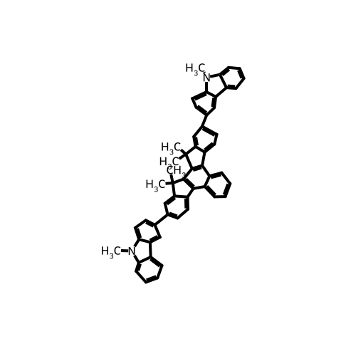 Cn1c2ccccc2c2cc(-c3ccc4c(c3)C(C)(C)c3c5c(c6ccccc6c3-4)-c3ccc(-c4ccc6c(c4)c4ccccc4n6C)cc3C5(C)C)ccc21